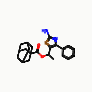 CC(OC(=O)C12CC3CC(CC(C3)C1)C2)c1sc(N)nc1-c1ccccc1